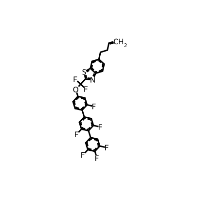 C=CCCc1ccc2nc(C(F)(F)Oc3ccc(-c4cc(F)c(-c5cc(F)c(F)c(F)c5)c(F)c4)c(F)c3)sc2c1